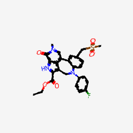 CCOC(=O)c1[nH]c2c(=O)n(C)cc3c2c1CN(c1ccc(F)cc1)c1ccc(CS(C)(=O)=O)cc1-3